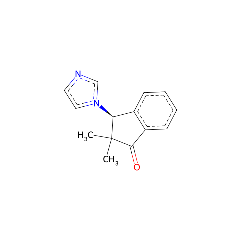 CC1(C)C(=O)c2ccccc2[C@@H]1n1ccnc1